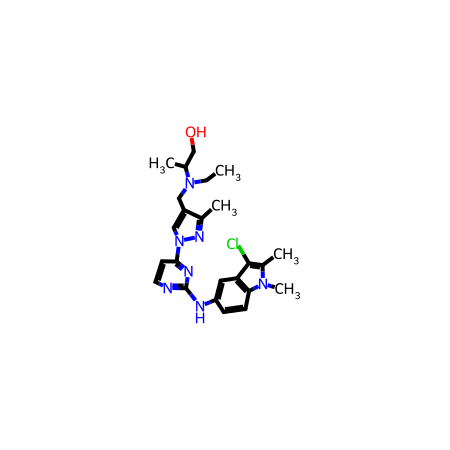 CCN(Cc1cn(-c2ccnc(Nc3ccc4c(c3)c(Cl)c(C)n4C)n2)nc1C)C(C)CO